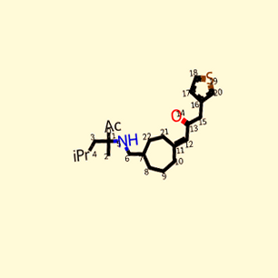 CC(=O)C(C)(CC(C)C)NCC1CCC/C(=C/C(=O)Cc2ccsc2)CC1